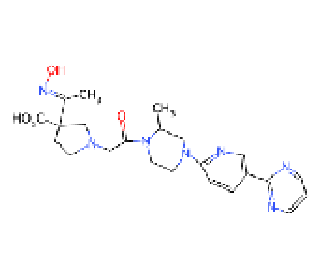 CC(=NO)C1(C(=O)O)CCN(CC(=O)N2CCN(c3ccc(-c4ncccn4)cn3)CC2C)C1